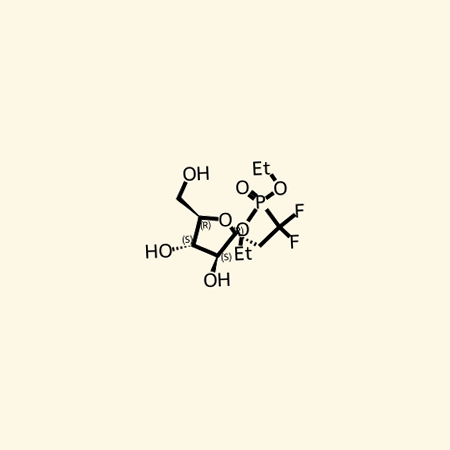 CCOP(=O)(OCC)C(F)(F)C[C@H]1O[C@H](CO)[C@@H](O)[C@@H]1O